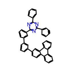 c1ccc(-c2nc(-c3ccccc3)nc(-c3cccc(-c4cccc(-c5ccc6c7ccccc7c7ccccc7c6c5)c4)c3)n2)cc#1